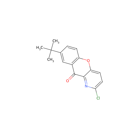 CC(C)(C)c1ccc2oc3ccc(Cl)nc3c(=O)c2c1